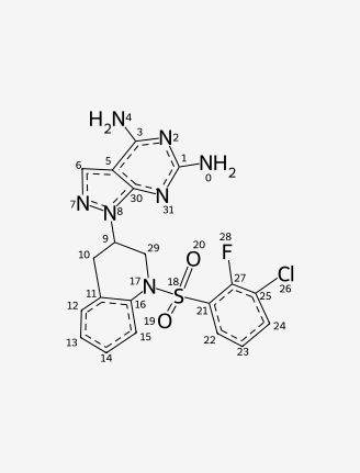 Nc1nc(N)c2cnn(C3Cc4ccccc4N(S(=O)(=O)c4cccc(Cl)c4F)C3)c2n1